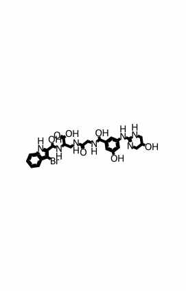 O=C(CNC(O)c1cc(O)cc(NC2=NCC(O)CN2)c1)NCC(NC(O)c1[nH]c2ccccc2c1Br)C(=O)O